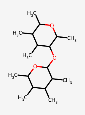 CC1OC(OC2C(C)OC(C)C(C)C2C)C(C)C(C)C1C